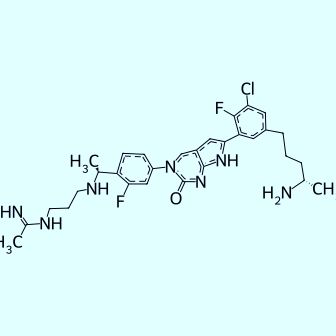 CC(=N)NCCCN[C@@H](C)c1ccc(-n2cc3cc(-c4cc(CCC[C@H](C)N)cc(Cl)c4F)[nH]c3nc2=O)cc1F